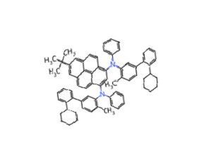 Cc1ccc(-c2ccccc2C2CCCCC2)cc1N(c1ccccc1)c1cc(N(c2ccccc2)c2cc(-c3ccccc3C3CCCCC3)ccc2C)c2ccc3cc(C(C)(C)C)cc4ccc1c2c43